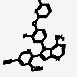 C#Cc1cnc(-c2cc3ncnc(N)c3n2-c2ccc(Oc3cccc(C)n3)c(F)c2)c(OC)c1